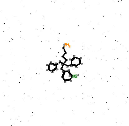 Cl.PCCCCC(Cc1ccccc1)(Cc1ccccc1)Cc1ccccc1